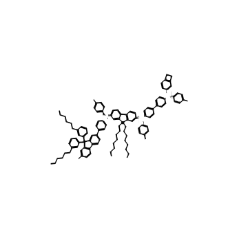 CCCCCCCCC1(CCCCCCCC)c2cc(N(c3ccc(C)cc3)c3ccc(-c4ccc(N(c5ccc(C)cc5)c5ccc6c(c5)CC6)cc4)cc3)ccc2-c2ccc(N(c3ccc(C)cc3)c3ccc(-c4ccc5c(c4)C(c4cccc(CCCCCC)c4)(c4cccc(CCCCCC)c4)c4cc(C)ccc4-5)cc3)cc21